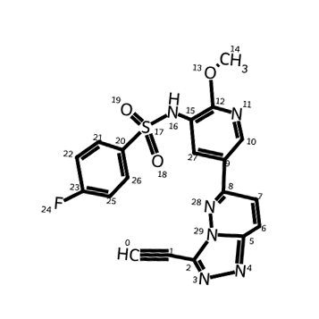 C#Cc1nnc2ccc(-c3cnc(OC)c(NS(=O)(=O)c4ccc(F)cc4)c3)nn12